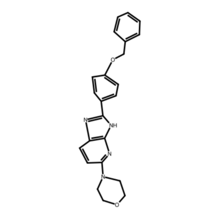 c1ccc(COc2ccc(-c3nc4ccc(N5CCOCC5)nc4[nH]3)cc2)cc1